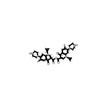 O=C(OC(=O)c1cn(C2CC2)c2cc(N3CCNCC3)c(F)cc2c1=O)c1cn(C2CC2)c2cc(N3CCNCC3)c(F)cc2c1=O